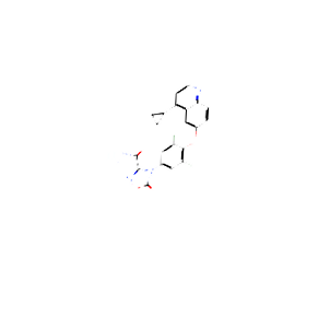 NC(=O)c1noc(=O)n1-c1cc(Cl)c(Oc2ccc3nccc(C4CC4)c3c2)c(Cl)c1